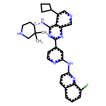 CC1(C)CNCC[C@@H]1Nc1nc(-c2ccnc(Nc3ccc4cccc(F)c4n3)c2)nc2cncc(C3CCC3)c12